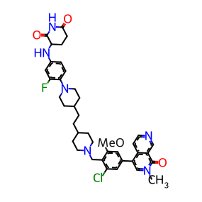 COc1cc(-c2cn(C)c(=O)c3cnccc23)cc(Cl)c1CN1CCC(CCC2CCN(c3ccc(NC4CCC(=O)NC4=O)cc3F)CC2)CC1